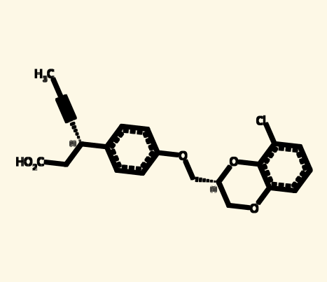 CC#C[C@@H](CC(=O)O)c1ccc(OC[C@H]2COc3cccc(Cl)c3O2)cc1